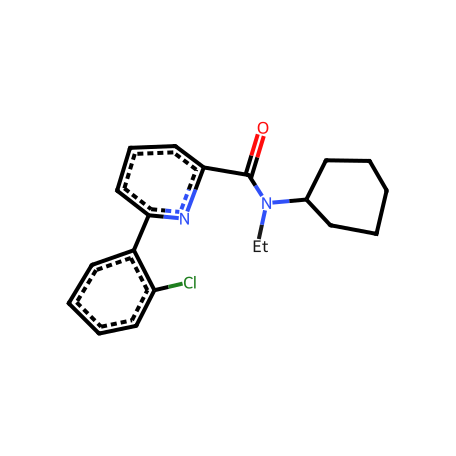 CCN(C(=O)c1cccc(-c2ccccc2Cl)n1)C1CCCCC1